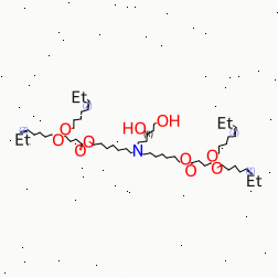 CC/C=C\CCCCOC(CCC(=O)OCCCCCCCN(CCCCCCCOC(=O)CCC(OCCCC/C=C\CC)OCCCC/C=C\CC)CC[C@@H](O)CCO)OCCCC/C=C\CC